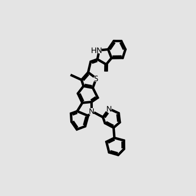 C=c1/c(=C\c2sc3cc4c(cc3c2C)c2ccccc2n4-c2cc(-c3ccccc3)ccn2)[nH]c2ccccc12